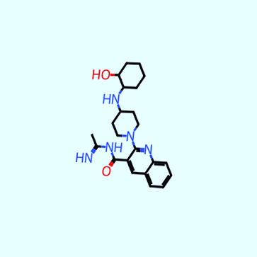 CC(=N)NC(=O)c1cc2ccccc2nc1N1CCC(NC2CCCCC2O)CC1